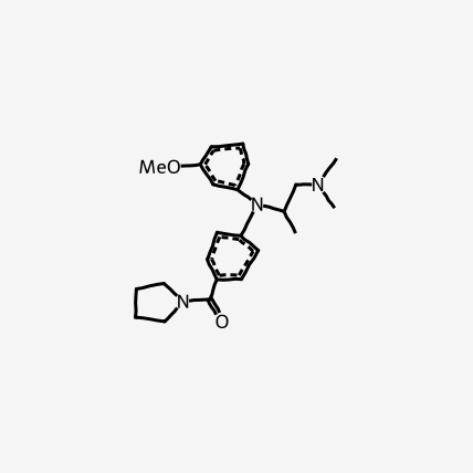 COc1cccc(N(c2ccc(C(=O)N3CCCC3)cc2)C(C)CN(C)C)c1